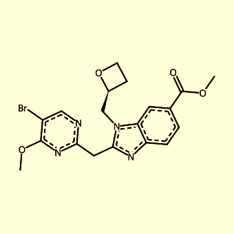 COC(=O)c1ccc2nc(Cc3ncc(Br)c(OC)n3)n(C[C@@H]3CCO3)c2c1